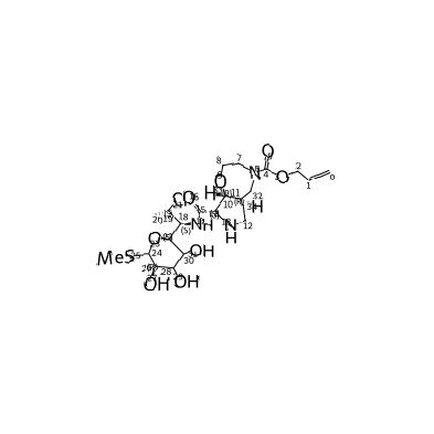 C=CCOC(=O)N1CCO[C@@H]2[C@H](CN[C@@H]2C(=O)N[C@H]([C@H](C)Cl)[C@@H]2OC(SC)[C@H](O)C(O)C2O)C1